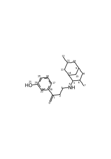 C=C(CCNC1C(C)CC2CC(C)CC1C2)c1cccc(O)c1